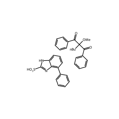 CCCCC(OC)(C(=O)c1ccccc1)C(=O)c1ccccc1.O=S(=O)(O)c1nc2c(-c3ccccc3)cccc2[nH]1